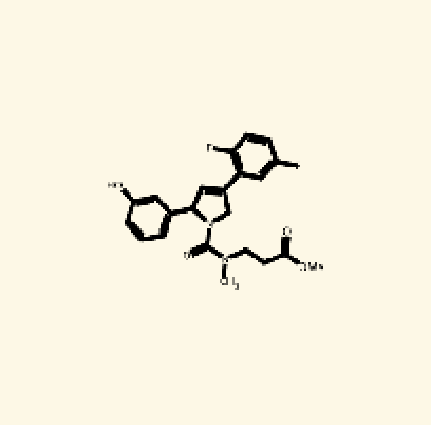 COC(=O)CCN(C)C(=O)N1CC(c2cc(F)ccc2F)=CC1c1cccc(O)c1